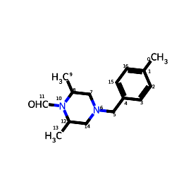 Cc1ccc(CN2CC(C)N(C=O)C(C)C2)cc1